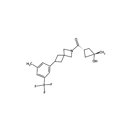 Cc1cc(C2CC3(C2)CN(C(=O)[C@H]2C[C@@](C)(O)C2)C3)cc(C(F)(F)F)c1